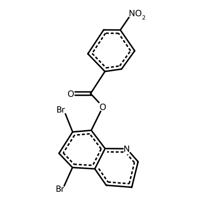 O=C(Oc1c(Br)cc(Br)c2cccnc12)c1ccc([N+](=O)[O-])cc1